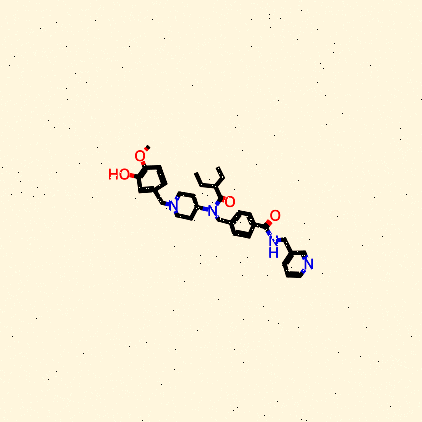 CCC(CC)C(=O)N(Cc1ccc(C(=O)NCc2cccnc2)cc1)C1CCN(Cc2ccc(OC)c(O)c2)CC1